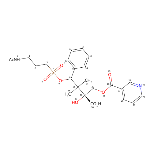 CC(=O)NCCCS(=O)(=O)OC(c1ccccc1)C(C)(C)[C@@](O)(COC(=O)c1cccnc1)C(=O)O